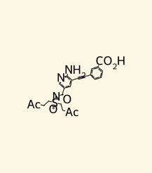 CC(=O)CCS(=O)(CCC(C)=O)=NC(=O)c1cnc(N)c(C#Cc2cccc(C(=O)O)c2)c1